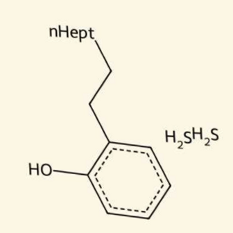 CCCCCCCCCc1ccccc1O.S.S